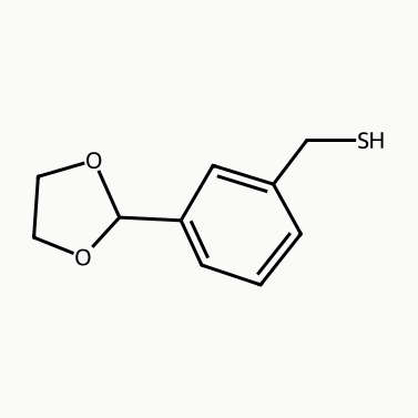 SCc1cccc(C2OCCO2)c1